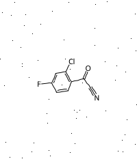 N#CC(=O)c1ccc(F)cc1Cl